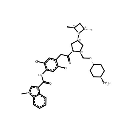 C[C@H]1C[C@H](C)N1[C@H]1C[C@@H](CO[C@H]2CC[C@H](C(=O)O)CC2)N(C(=O)Cc2cc(Cl)c(NC(=O)c3cn(C)c4ccccc34)cc2Cl)C1